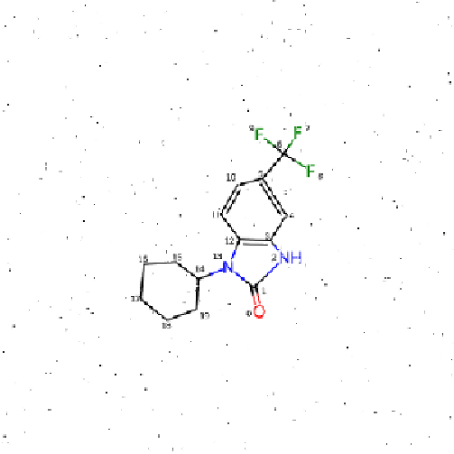 O=c1[nH]c2cc(C(F)(F)F)ccc2n1C1CCCCC1